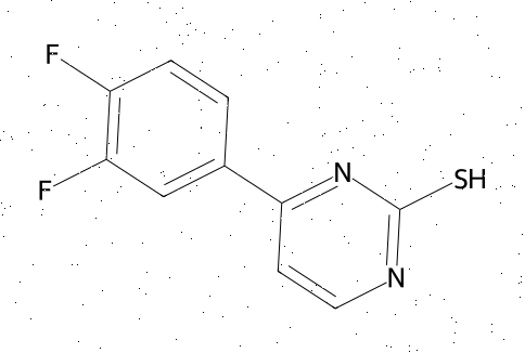 Fc1ccc(-c2ccnc(S)n2)cc1F